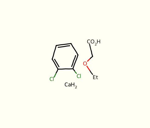 CCOCC(=O)O.Clc1ccccc1Cl.[CaH2]